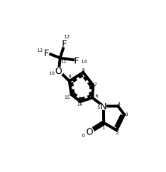 O=C1C=CCN1c1ccc(OC(F)(F)F)cc1